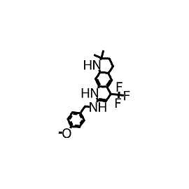 COc1ccc(CNC2=CC(C(F)(F)F)C3=CC4CCC(C)(C)NC4C=C3N2)cc1